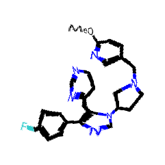 COc1ccc(CN2CCC(n3cnc(-c4ccc(F)cc4)c3-c3ccncn3)C2)cn1